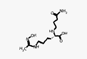 CC(=NO)NCCCC[C@H](NCCCC(N)=O)C(=O)O